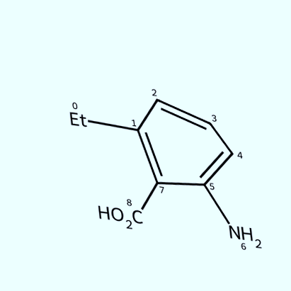 [CH2]Cc1cccc(N)c1C(=O)O